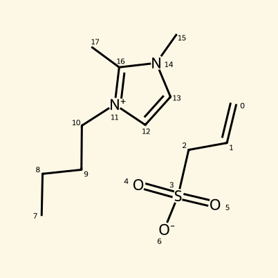 C=CCS(=O)(=O)[O-].CCCC[n+]1ccn(C)c1C